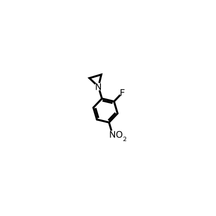 O=[N+]([O-])c1ccc(N2CC2)c(F)c1